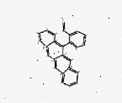 S=Cc1ccccc1-c1c2ccccc2cc2cc3ccccc3cc12